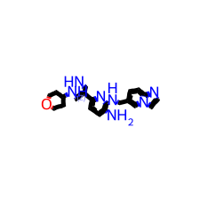 N=C/C(=C\NC1CCOCC1)c1ccc(N)c(NCc2ccc3nccn3c2)n1